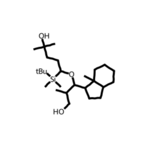 CC(CO)C(OC(CCC(C)(C)O)[Si](C)(C)C(C)(C)C)C1CCC2CCCCC21C